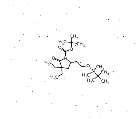 CCC1(CC)C[C@H](CCO[Si](C)(C)C(C)(C)C)N(C(=O)OC(C)(C)C)C1=O